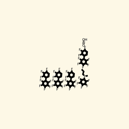 CCCP(C)c1c(F)c(F)c(F)c(F)c1F.Fc1ccc(-c2c(F)c(F)c(F)c(F)c2F)c(F)c1F.Fc1ccc(-c2c(F)c(F)c(F)c(F)c2F)c(F)c1F.Fc1ccc(-c2c(F)c(F)c(F)c(F)c2F)c(F)c1F.Fc1ccc(-c2c(F)c(F)c(F)c(F)c2F)c(F)c1F.[O]=[Al][OH]